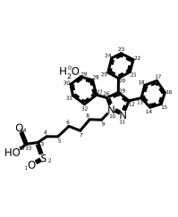 O.O=S=C(CCCCCCn1nc(-c2ccccc2)c(-c2ccccc2)c1-c1ccccc1)C(=O)O